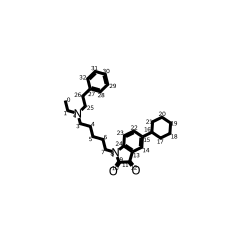 CCN(CCCCCN1C(=O)C(=O)c2cc(C3CCCCC3)ccc21)CCc1ccccc1